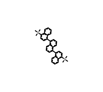 C[Si](C)(C)c1ccc(-c2cccc3c(-c4ccc([Si](C)(C)C)c5ccccc45)cccc23)c2ccccc12